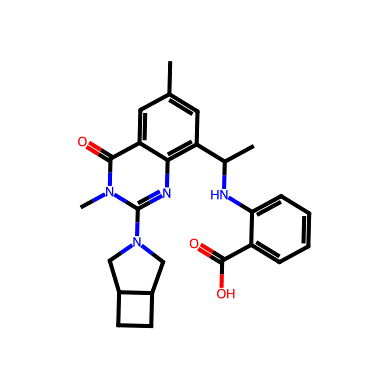 Cc1cc(C(C)Nc2ccccc2C(=O)O)c2nc(N3CC4CCC4C3)n(C)c(=O)c2c1